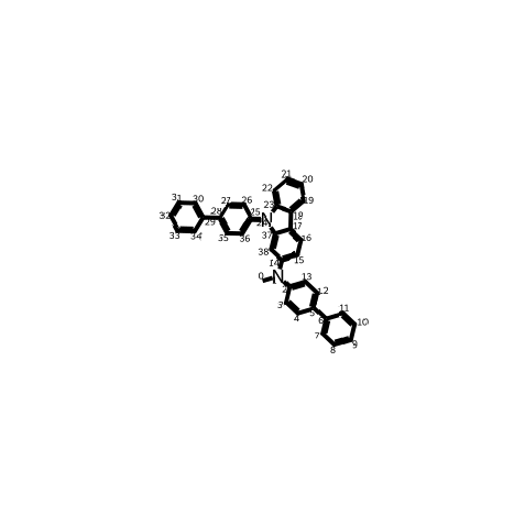 CN(c1ccc(-c2ccccc2)cc1)c1ccc2c3ccccc3n(-c3ccc(-c4ccccc4)cc3)c2c1